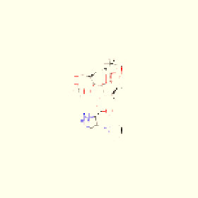 CC1=C[C@]23C(=O)[C@@H](C=C4COC(C)(C)O[C@H]4[C@]2(O)[C@H]1OC(=O)c1c(N2CCCCC2)cnn1C)C(C)(C)[C@@H](C)C[C@H]3C